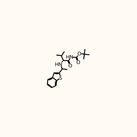 CC(N[C@H](C(=O)NC(=O)OC(C)(C)C)C(C)C)c1cc2ccccc2s1